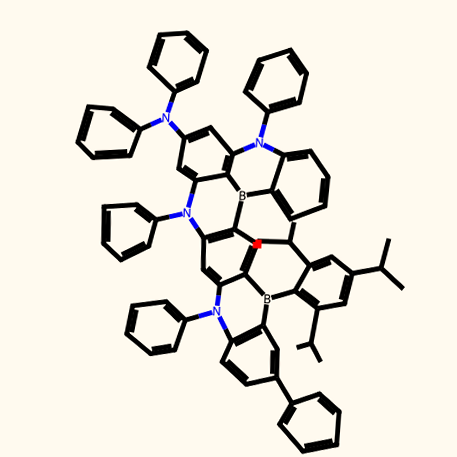 CC(C)c1cc(C(C)C)c(B2c3cc(-c4ccccc4)ccc3N(c3ccccc3)c3cc4c(cc32)B2c3ccccc3N(c3ccccc3)c3cc(N(c5ccccc5)c5ccccc5)cc(c32)N4c2ccccc2)c(C(C)C)c1